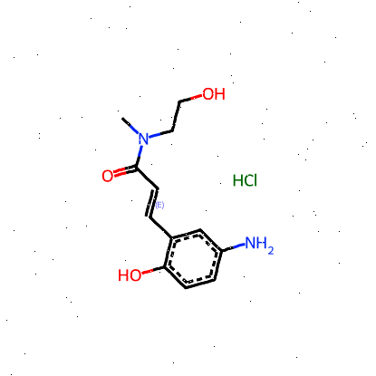 CN(CCO)C(=O)/C=C/c1cc(N)ccc1O.Cl